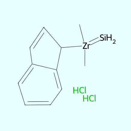 Cl.Cl.[CH3][Zr]([CH3])(=[SiH2])[CH]1C=Cc2ccccc21